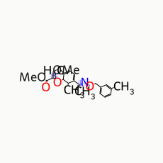 CO/C=C(\OC1C(C)=CC=C(/C(C)=N/OCc2cccc(C)c2)C1C)C(=O)OC